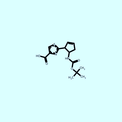 CC(C)(C)OC(=O)NC1CC=CC1c1nc(C(=O)O)cs1